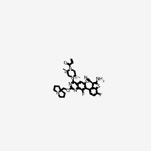 C=CC(=O)N1C[C@H](C)N(c2nc(OCC34CCCN3CCC4)nc3c(F)c(-c4ccc(F)c5sc(N)c(C#N)c45)c(Cl)cc23)C[C@H]1C